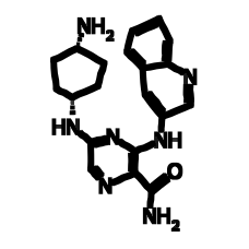 NC(=O)c1ncc(N[C@H]2CC[C@@H](N)CC2)nc1Nc1cnc2ccccc2c1